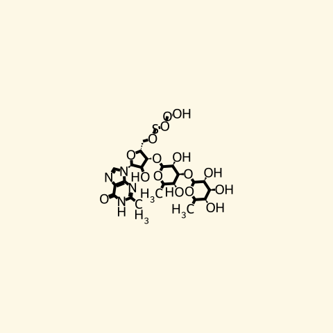 Cc1nc2c(ncn2[C@@H]2O[C@H](COSOOO)[C@H](OC3OC(C)[C@@H](O)[C@H](OC4OC(C)[C@@H](O)[C@H](O)[C@H]4O)[C@H]3O)C2O)c(=O)[nH]1